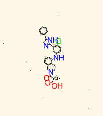 O=C(O)C1(C(=O)N2CCc3c(cccc3Nc3ccc(Cl)c(-c4ncc(-c5ccccc5)[nH]4)c3)C2)CC1